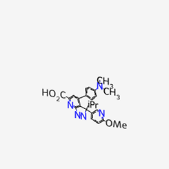 COc1ccc(C2(C(C)C)N=Nc3nc(C(=O)O)cc(-c4ccc(N(C)C)cc4)c32)cn1